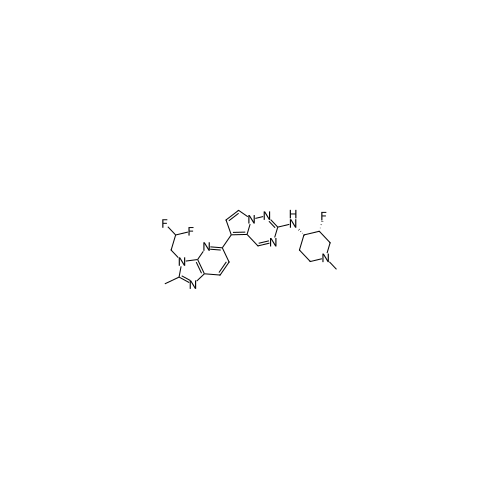 Cc1nc2ccc(-c3ccn4nc(N[C@H]5CCN(C)C[C@H]5F)ncc34)nc2n1CC(F)F